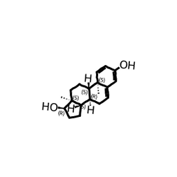 C[C@]12CC[C@H]3[C@@H](CC=C4C=C(O)C=C[C@@]43C)[C@@H]1CC[C@H]2O